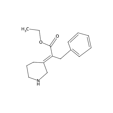 CCOC(=O)/C(Cc1ccccc1)=C1\CCCNC1